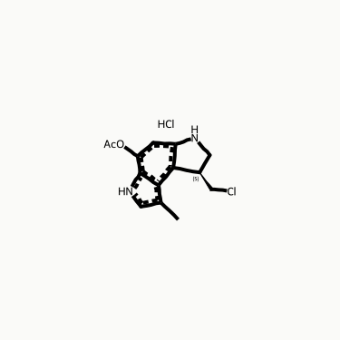 CC(=O)Oc1cc2c(c3c(C)c[nH]c13)[C@H](CCl)CN2.Cl